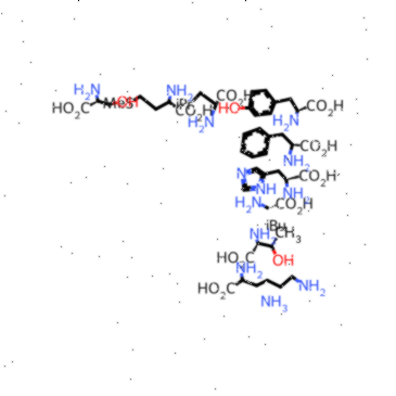 CC(C)CC(N)C(=O)O.CC[C@H](C)[C@H](N)C(=O)O.CSCCC(N)C(=O)O.C[C@@H](O)[C@H](N)C(=O)O.N.NCCCCC(N)C(=O)O.N[C@@H](CO)C(=O)O.N[C@@H](Cc1ccc(O)cc1)C(=O)O.N[C@@H](Cc1ccccc1)C(=O)O.N[C@@H](Cc1cnc[nH]1)C(=O)O